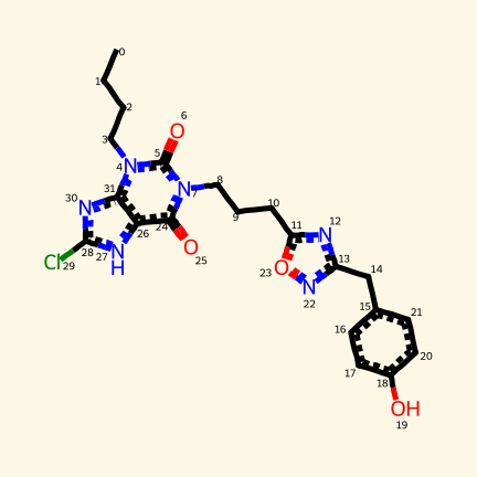 CCCCn1c(=O)n(CCCc2nc(Cc3ccc(O)cc3)no2)c(=O)c2[nH]c(Cl)nc21